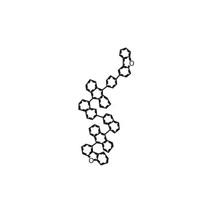 c1cc(-c2c3ccccc3c(-c3ccc(-c4ccc5oc6ccccc6c5c4)cc3)c3ccccc23)c2cc(-c3ccc4cccc(-c5c6ccccc6c(-c6cccc7oc8ccccc8c67)c6ccccc56)c4c3)ccc2c1